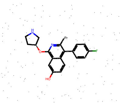 CC(C)c1nc(O[C@H]2CCNC2)c2cc(O)ccc2c1-c1ccc(F)cc1